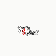 C=C(C)C(=O)[O-].C=CC=C.CCC[CH2][Sn+]([CH2]CCC)[CH2]CCC